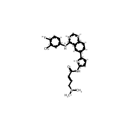 CN(C)C/C=C/C(=O)Nc1ccc(-c2ccc3ncnc(Nc4ccc(F)c(Cl)c4)c3c2)s1